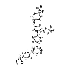 CCS(=O)(=O)c1ccc([C@H](CC#N)NC(=O)c2ccc(N3C[C@H](Oc4ccc(C(F)(F)F)cc4)C[C@H]3COC(F)(F)F)nc2)cc1